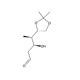 C[C@H]([C@@H](O)CC=O)[C@H]1COC(C)(C)O1